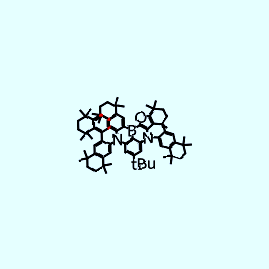 CC(C)(C)c1cc2c3c(c1)N1c4cc5c(cc4C4(C)CCC(C)(C)c6oc(c1c64)B3c1cc3c(cc1N2c1cc2c(cc1-c1cccc4c1C(C)(C)CCC4(C)C)C(C)(C)CCC2(C)C)C(C)(C)CCC3(C)C)C(C)(C)CCC5(C)C